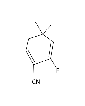 CC1(C)C=C(F)C(C#N)=CC1